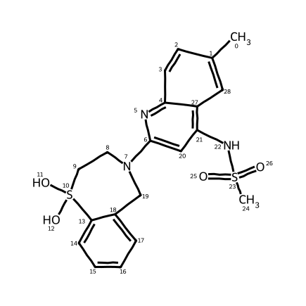 Cc1ccc2nc(N3CCS(O)(O)c4ccccc4C3)cc(NS(C)(=O)=O)c2c1